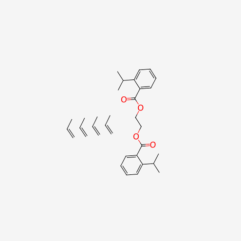 C=CC.C=CC.C=CC.C=CC.CC(C)c1ccccc1C(=O)OCCOC(=O)c1ccccc1C(C)C